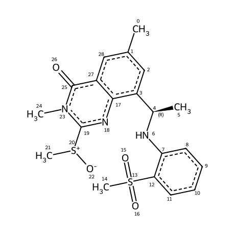 Cc1cc([C@@H](C)Nc2ccccc2S(C)(=O)=O)c2nc([S+](C)[O-])n(C)c(=O)c2c1